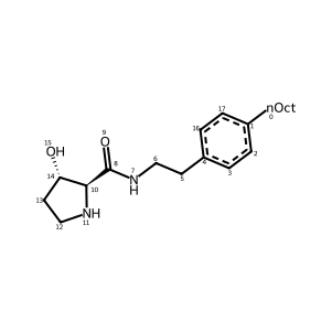 CCCCCCCCc1ccc(CCNC(=O)[C@H]2NCC[C@@H]2O)cc1